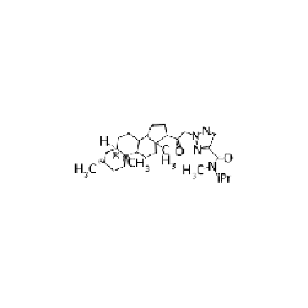 CC(C)N(C)C(=O)c1cnn(CC(=O)C2CCC3C4CC[C@@H]5C[C@@H](C)CC[C@]5(C)C4CCC23C)n1